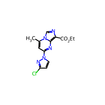 CCOC(=O)c1ncn2c(C)cc(-n3ccc(Cl)n3)nc12